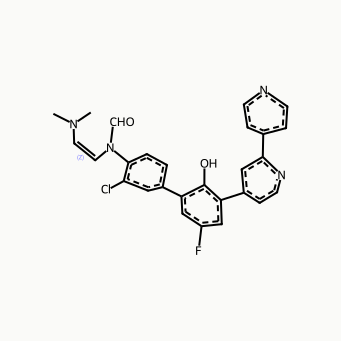 CN(C)/C=C\N(C=O)c1ccc(-c2cc(F)cc(-c3ccnc(-c4ccncc4)c3)c2O)cc1Cl